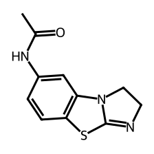 CC(=O)Nc1ccc2c(c1)N1CCN=C1S2